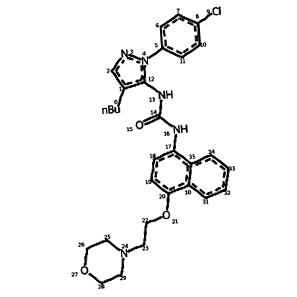 CCCCc1cnn(-c2ccc(Cl)cc2)c1NC(=O)Nc1ccc(OCCN2CCOCC2)c2ccccc12